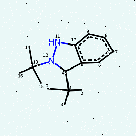 CC(C)(C)C1c2ccccc2NN1C(C)(C)C